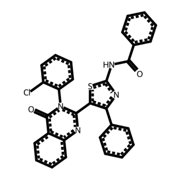 O=C(Nc1nc(-c2ccccc2)c(-c2nc3ccccc3c(=O)n2-c2ccccc2Cl)s1)c1ccccc1